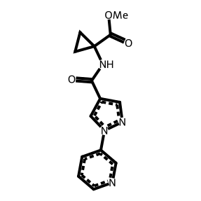 COC(=O)C1(NC(=O)c2cnn(-c3cccnc3)c2)CC1